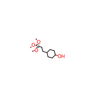 CO[Si](CCC1CCC(O)CC1)(OC)OC